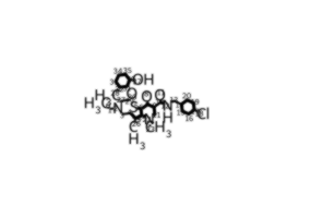 CCN(Cc1sc2c(=O)c(C(=O)NCc3ccc(Cl)cc3)cn(C)c2c1C)C(C)COc1ccccc1O